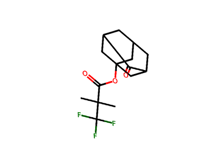 CC(C)(C(=O)OC12CC3CC(C1)C(=O)C(C3)C2)C(F)(F)F